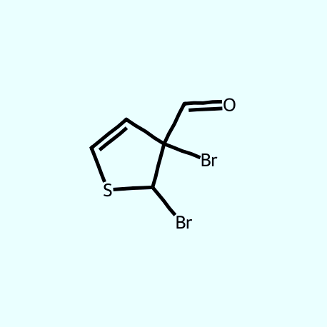 O=CC1(Br)C=CSC1Br